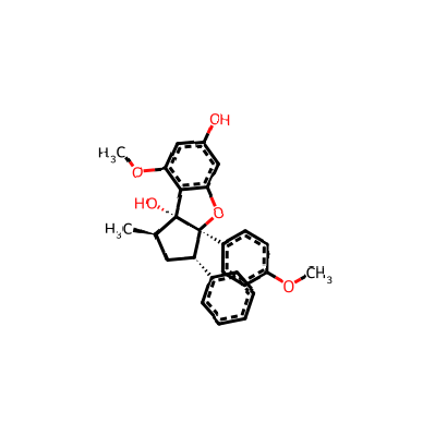 COc1ccc([C@@]23Oc4cc(O)cc(OC)c4[C@]2(O)[C@H](C)C[C@H]3c2ccccc2)cc1